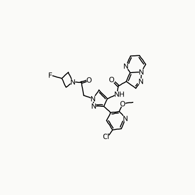 COc1ncc(Cl)cc1-c1nn(CC(=O)N2CC(F)C2)cc1NC(=O)c1cnn2cccnc12